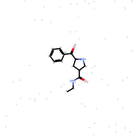 CCNC(=O)C1CNC(C(=O)c2ccccc2)C1